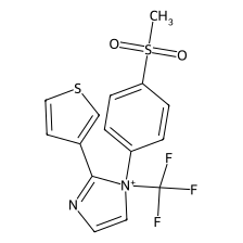 CS(=O)(=O)c1ccc([N+]2(C(F)(F)F)C=CN=C2c2ccsc2)cc1